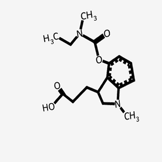 CCN(C)C(=O)Oc1cccc2c1C(CCC(=O)O)CN2C